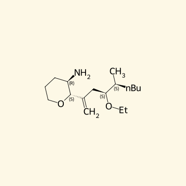 C=C(C[C@H](OCC)[C@@H](C)CCCC)[C@@H]1OCCC[C@H]1N